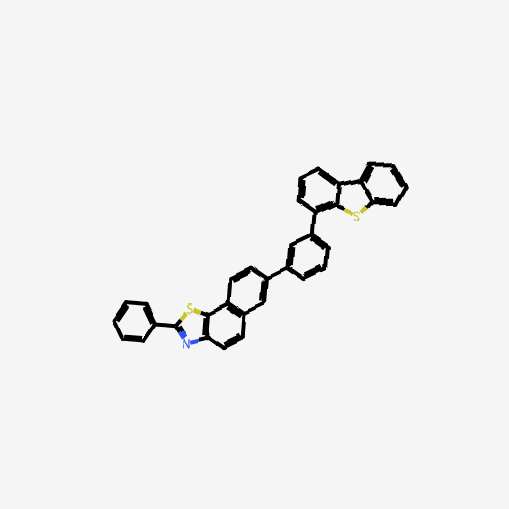 c1ccc(-c2nc3ccc4cc(-c5cccc(-c6cccc7c6sc6ccccc67)c5)ccc4c3s2)cc1